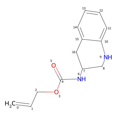 C=CCOC(=O)NC1CNc2ccccc2C1